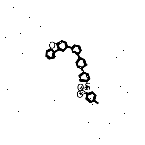 Cc1ccc(S(=O)(=O)Sc2ccc(-c3ccc(-c4cccc(-c5ccc6oc7ccccc7c6c5)c4)cc3)cc2)cc1